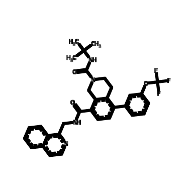 CC(C)(C)NC(=O)N1CCc2c(-c3cccc(OC(F)(F)F)c3)ccc(C(=O)NCc3nccc4ccccc34)c2C1